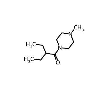 CCC(CC)C(=O)N1CCN(C)CC1